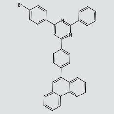 Brc1ccc(-c2cc(-c3ccc(-c4cc5ccccc5c5ccccc45)cc3)nc(-c3ccccc3)n2)cc1